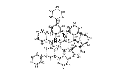 c1ccc(-c2cc(-c3ccccc3)cc(N3B4c5cccc6c5N(c5ccccc5C6(c5ccccc5)c5ccccc5)c5cc(C6CCCCC6)cc(c54)-c4ccccc43)c2)cc1